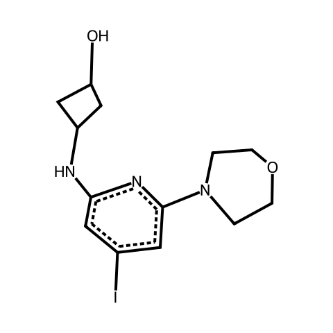 OC1CC(Nc2cc(I)cc(N3CCOCC3)n2)C1